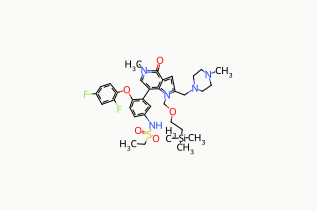 CCS(=O)(=O)Nc1ccc(Oc2ccc(F)cc2F)c(-c2cn(C)c(=O)c3cc(CN4CCN(C)CC4)n(COCC[Si](C)(C)C)c23)c1